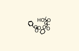 C[C@H](O)C(=O)O[C@@H](C)C(=O)O[C@H]1CCCC[C@@H]1OC(=O)OCc1ccccc1